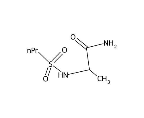 CCCS(=O)(=O)NC(C)C(N)=O